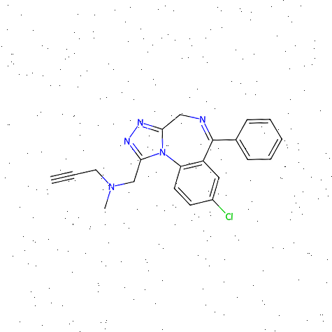 C#CCN(C)Cc1nnc2n1-c1ccc(Cl)cc1C(c1ccccc1)=NC2